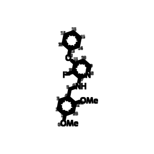 COc1ccc(CNc2nccc(Oc3ccccc3)c2F)c(OC)c1